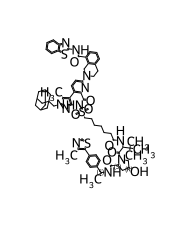 Cc1ncsc1-c1ccc([C@H](C)NC(=O)[C@@H]2C[C@@H](O)CN2C(=O)C(NC(=O)CCCCCCS(=O)(=O)NC(=O)c2nc(N3CCc4cccc(C(=O)Nc5nc6ccccc6s5)c4C3)ccc2-c2cnn(CC34CC5CC(CC(C5)C3)C4)c2C)C(C)(C)C)cc1